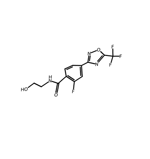 O=C(NCCO)c1ccc(-c2noc(C(F)(F)F)n2)cc1F